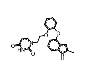 Cc1cc2c(Oc3ccccc3OCCn3ccc(=O)[nH]c3=O)cccc2[nH]1